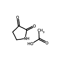 CC(=O)O.O=C1CCNC1=O